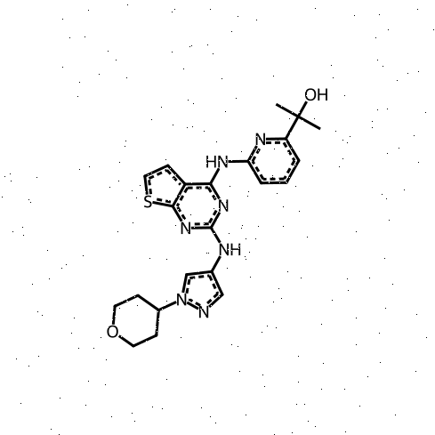 CC(C)(O)c1cccc(Nc2nc(Nc3cnn(C4CCOCC4)c3)nc3sccc23)n1